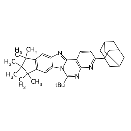 CC(C)(C)c1nc2nc(C34CC5CC(CC(C5)C3)C4)ccc2c2nc3cc4c(cc3n12)C(C)(C)C(C)(C)C4(C)C